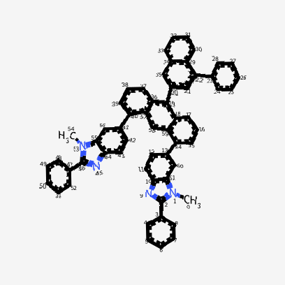 Cn1c(-c2ccccc2)nc2ccc(-c3cccc4c(-c5cc(-c6ccccc6)c6ccccc6c5)c5cccc(-c6ccc7nc(-c8ccccc8)n(C)c7c6)c5cc34)cc21